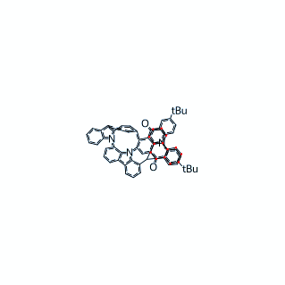 CC(C)(C)c1ccc2c(c1)c(=O)c1cc3c(c4ccc5c(c4)c4ccccc4n5c4cccc5c6cccc(C7C8c9ccccc9-c9ccccc9C87)c6n3c54)c3c(=O)c4cc(C(C)(C)C)ccc4n2c13